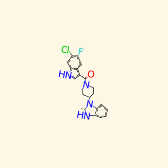 O=C(c1c[nH]c2cc(Cl)c(F)cc12)N1CCC(N2[CH]Nc3ccccc32)CC1